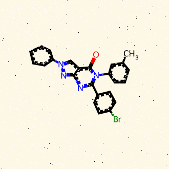 Cc1cccc(-n2c(-c3ccc(Br)cc3)nc3nn(-c4ccccc4)cc3c2=O)c1